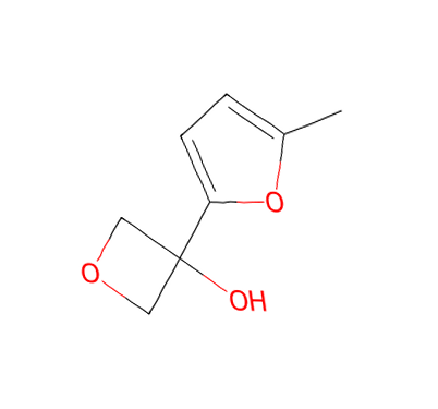 Cc1ccc(C2(O)COC2)o1